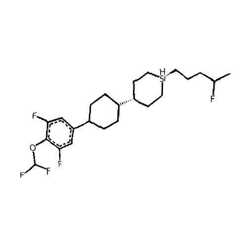 CC(F)CCC[Si@H]1CC[C@H](C2CCC(c3cc(F)c(OC(F)F)c(F)c3)CC2)CC1